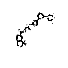 C[C@@H]1CN(c2cccc(-c3csc(NC(=O)CNC(=O)c4ccc5c(c4)C(F)(F)COC5)n3)n2)C[C@H](C)O1